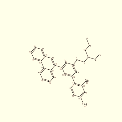 CCCC(CC)COc1nc(-c2ccc(O)cc2O)nc(-c2cc3ccccc3c3ccccc23)n1